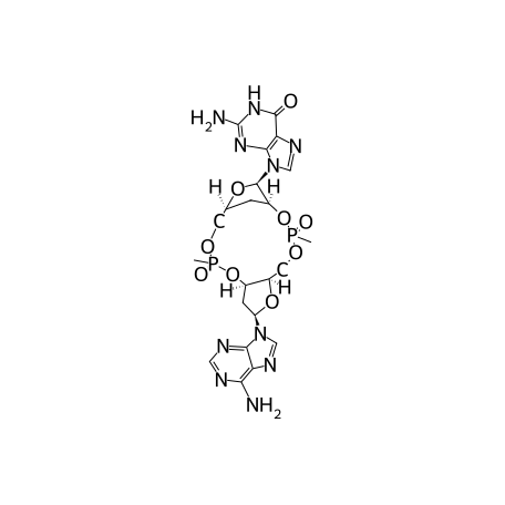 CP1(=O)OC[C@H]2O[C@@H](n3cnc4c(N)ncnc43)C[C@H]2OP(C)(=O)OC[C@@H]2C[C@H](O1)[C@H](n1cnc3c(=O)[nH]c(N)nc31)O2